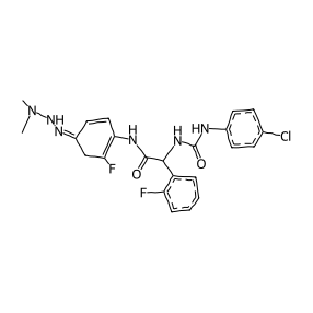 CN(C)NN=C1C=CC(NC(=O)C(NC(=O)Nc2ccc(Cl)cc2)c2ccccc2F)=C(F)C1